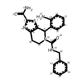 NC(=O)c1nc2c(s1)C(c1ccccc1N)N(C(=O)NCc1ccccc1)CC2